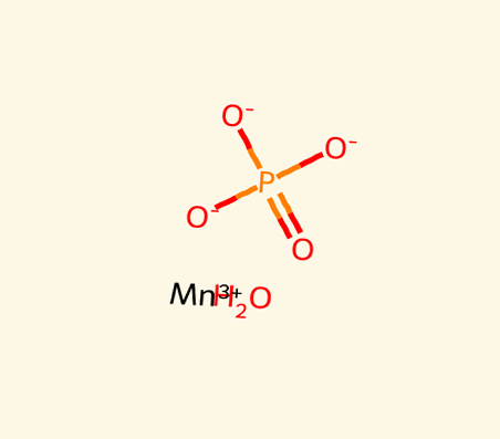 O.O=P([O-])([O-])[O-].[Mn+3]